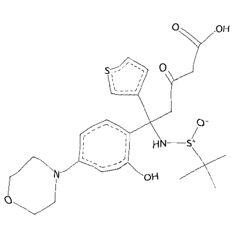 CC(C)(C)[S+]([O-])NC(CC(=O)CC(=O)O)(c1ccsc1)c1ccc(N2CCOCC2)cc1O